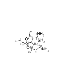 CCO[Si](CCCN)(OCC)OC(C)(CCN)CCN